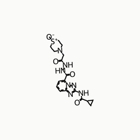 O=C(CN1CC[S+]([O-])CC1)NNC(=O)c1cccc2nc(NC(=O)C3CC3)nn12